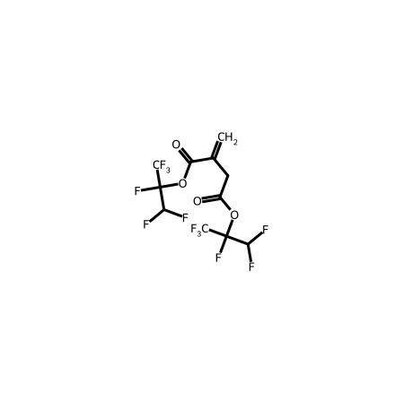 C=C(CC(=O)OC(F)(C(F)F)C(F)(F)F)C(=O)OC(F)(C(F)F)C(F)(F)F